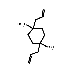 C=CCC1(C(=O)O)CCC(CC=C)(C(=O)O)CC1